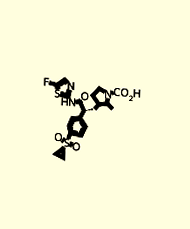 CC1C(C[C@@H](C(=O)Nc2ncc(F)s2)c2ccc(S(=O)(=O)C3CC3)cc2)CCN1C(=O)O